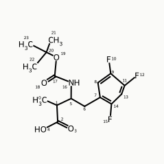 CC(C(=O)O)C(Cc1cc(F)c(F)cc1F)NC(=O)OC(C)(C)C